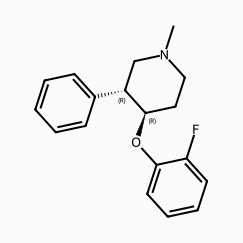 CN1CC[C@@H](Oc2ccccc2F)[C@H](c2ccccc2)C1